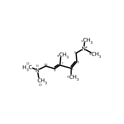 CC(=CCN(C)C)C(C)=CCN(C)C